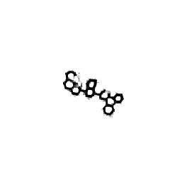 C=C1c2ccccc2C2=C(CCC=C2)C1C/C(=C\C)c1ccc(C2=N[C@@]3(C)C(C=C2)CC=C2C=CC=NC23)c2ccccc12